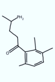 Cc1ccc(C)c(C(=O)CCC(C)P)c1C